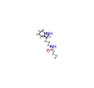 CCCCC(=O)NCCCc1c[nH]c2ccccc12